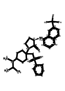 CC(C)N(C)C1CCC(CS(=O)(=O)c2ccccc2)(N2CC[C@H](Nc3ncnc4ccc(C(F)(F)F)cc34)C2=O)CC1